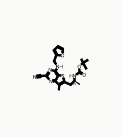 Cc1c(C[C@H](C)NC(=O)OC(C)(C)C)sc2c(NCc3ccco3)nc(C#N)nc12